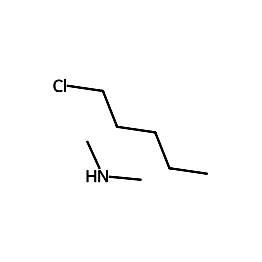 CCCCCCl.CNC